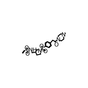 C=CS(=O)(=O)NCC1CCN(S(=O)(=O)c2ccc(CC(=O)N3CCN(C)CC3)cc2)C1